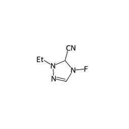 CCN1N=CN(F)C1C#N